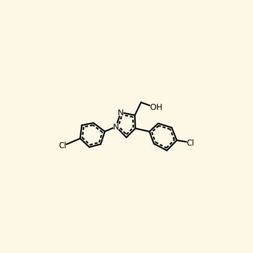 OCc1nn(-c2ccc(Cl)cc2)cc1-c1ccc(Cl)cc1